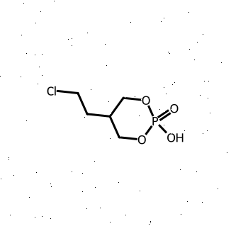 O=P1(O)OCC(CCCl)CO1